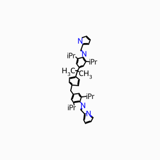 CC(C)c1cc(Cc2ccc(C(C)(C)c3cc(C(C)C)c(N=Cc4ccccn4)c(C(C)C)c3)cc2)cc(C(C)C)c1N=Cc1ccccn1